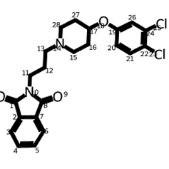 O=C1c2ccccc2C(=O)N1CCCN1CCC(Oc2ccc(Cl)c(Cl)c2)CC1